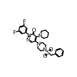 O=c1c(N2CCCCC2)c(N2CCN(S(=O)(=O)Cc3ccccc3)CC2)cnn1-c1cc(F)cc(F)c1